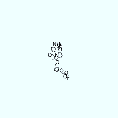 COC(=O)c1cc(C(=O)c2c(C)c(OCc3cccc(OCC(=O)OC(C)(C)C)c3)c3ccccn23)ccc1N